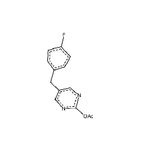 CC(=O)Oc1ncc(Cc2ccc(F)cc2)cn1